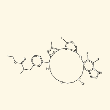 CCOC(=O)C(C)Cc1cccc(C2NCCOCC[S+]([O-])Cc3c(c(F)c(F)c4[nH]ccc34)Oc3ccc(F)c(c3)-c3nc2nn3C)c1